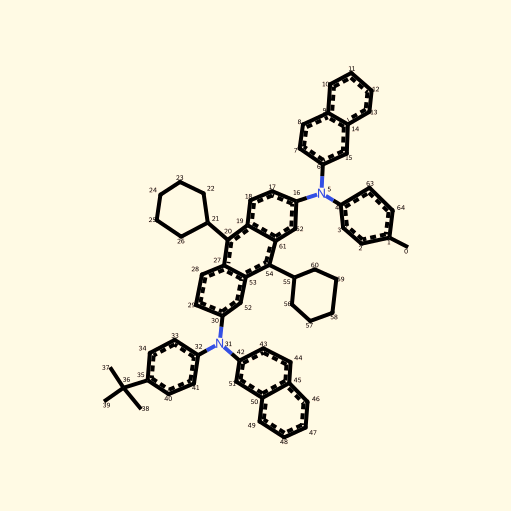 Cc1ccc(N(c2ccc3ccccc3c2)c2ccc3c(C4CCCCC4)c4ccc(N(c5ccc(C(C)(C)C)cc5)c5ccc6ccccc6c5)cc4c(C4CCCCC4)c3c2)cc1